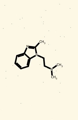 Cc1nc2ccccc2n1CCN(C)C